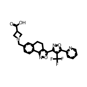 O=C(O)C1CN(Cc2ccc3c(c2)CCc2c-3noc2-c2noc(-c3ccccn3)c2C(F)(F)F)C1